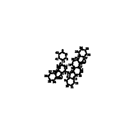 c1ccc(-c2nc(-n3c4ccccc4c4cnc5c(ccc6c7ccccc7oc65)c43)c3oc4ccccc4c3n2)cc1